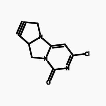 O=c1nc(Cl)cc2n1CC1C#CCN21